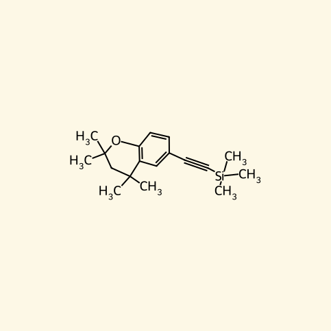 CC1(C)CC(C)(C)c2cc(C#C[Si](C)(C)C)ccc2O1